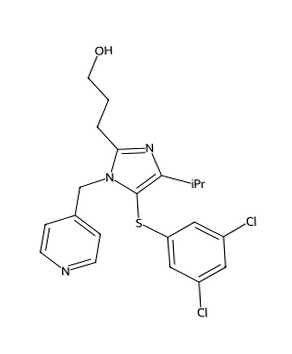 CC(C)c1nc(CCCO)n(Cc2ccncc2)c1Sc1cc(Cl)cc(Cl)c1